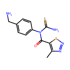 Cc1nnsc1C(=O)N(C(N)=S)c1ccc(CN)cc1